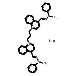 CN(/N=C/c1cc[n+](CCC[n+]2ccc(/C=N/N(C)c3ccccc3)c3ccccc32)c2ccccc12)c1ccccc1.[Br-].[Br-]